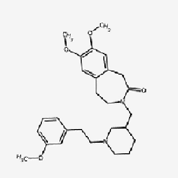 COc1cccc(CCN2CCCC(CN3CCc4cc(OC)c(OC)cc4CC3=O)C2)c1